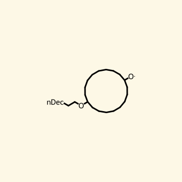 [CH2]CCCCCCCCCCCOC1CCCCCCCCC([O])CCCCCCCC1